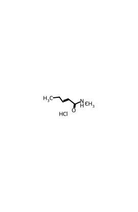 CCC=CC(=O)NC.Cl